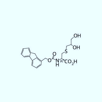 O=C(N[C@@H](CSCC(O)CO)C(=O)O)OCc1cccc2c1Cc1ccccc1-2